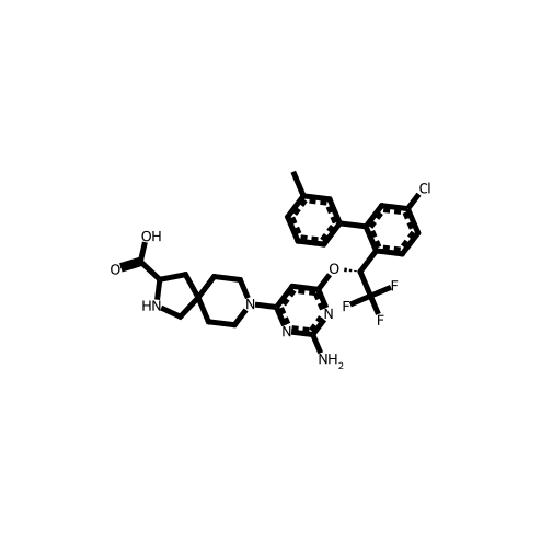 Cc1cccc(-c2cc(Cl)ccc2[C@@H](Oc2cc(N3CCC4(CC3)CNC(C(=O)O)C4)nc(N)n2)C(F)(F)F)c1